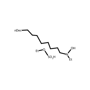 CCCCCCCCCCCCCCCCCCN(O)CC.CCOS(=O)(=O)O